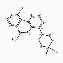 NC(=O)Oc1c(-c2ncccc2F)ncnc1C1CCC(F)(F)CC1